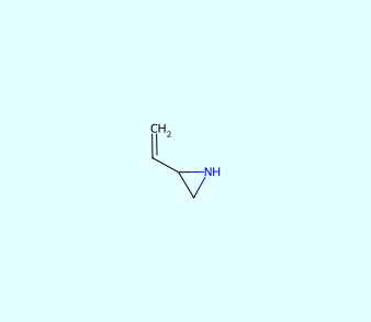 C=CC1CN1